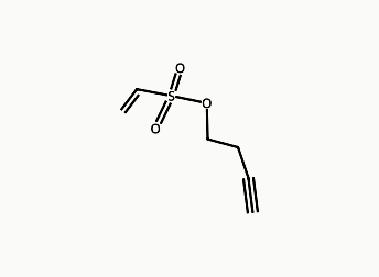 C#CCCOS(=O)(=O)C=C